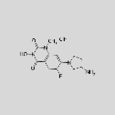 Cl.Cn1c(=O)n(O)c(=O)c2cc(F)c(N3CCC(N)C3)cc21